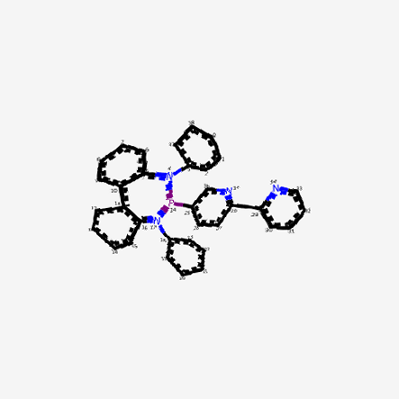 c1ccc(-n2c3ccccc3c3ccccc3n(-c3ccccc3)p2-c2ccc(-c3ccccn3)nc2)cc1